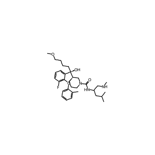 CNCC(CC(C)C)NC(=O)N1CCC[C@@H]([C@@](O)(CCCCOC)c2cccc(F)c2Oc2ccccc2C)C1